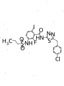 CCCS(=O)(=O)Nc1ccc(I)c(C(=O)Nc2nnc(Cc3ccc(Cl)cc3)s2)c1F